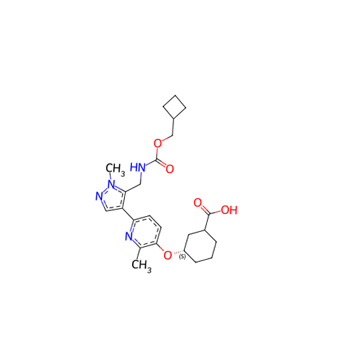 Cc1nc(-c2cnn(C)c2CNC(=O)OCC2CCC2)ccc1O[C@H]1CCCC(C(=O)O)C1